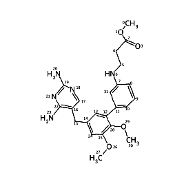 COC(=O)CCNc1cccc(-c2cc(Cc3cnc(N)nc3N)cc(OC)c2OC)c1